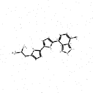 CC(C)Cc1ccc(-c2ccc(-c3ccc(Br)c4nsnc34)s2)s1